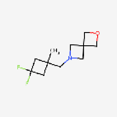 CC1(CN2CC3(COC3)C2)CC(F)(F)C1